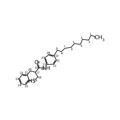 CCCCCCCCCCc1ccc(NC(=O)C(CS)Cc2ccccc2)cc1